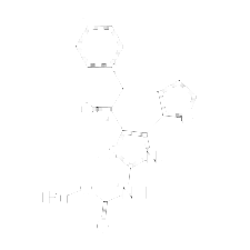 CC(C)(C)OC(=O)Nc1nc(-c2ccco2)c(C(=O)Cc2ccccc2)s1